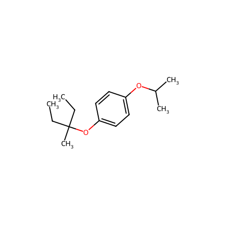 CCC(C)(CC)Oc1ccc(OC(C)C)cc1